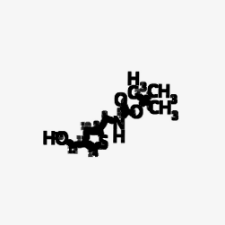 CC(C)(C)OC(=O)NCc1cc(CO)cs1